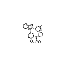 Cc1cc(-c2nc3ncccn3c2-c2ccc3c(c2)N(C2CCCC2)C(=O)CO3)ccn1